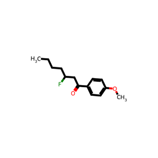 CCCCC(F)CC(=O)c1ccc(OC)cc1